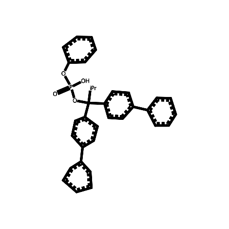 CC(C)C(OP(=O)(O)Oc1ccccc1)(c1ccc(-c2ccccc2)cc1)c1ccc(-c2ccccc2)cc1